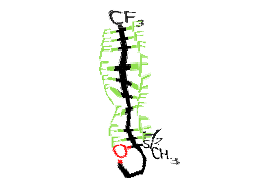 C[SiH2]C1(C(F)(F)C(F)(F)C(F)(F)C(F)(F)C(F)(F)C(F)(F)C(F)(F)C(F)(F)C(F)(F)C(F)(F)F)CCCCO1